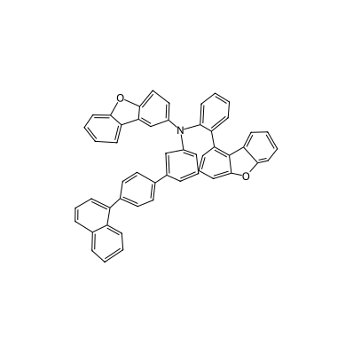 c1cc(-c2ccc(-c3cccc4ccccc34)cc2)cc(N(c2ccc3oc4ccccc4c3c2)c2ccccc2-c2cccc3oc4ccccc4c23)c1